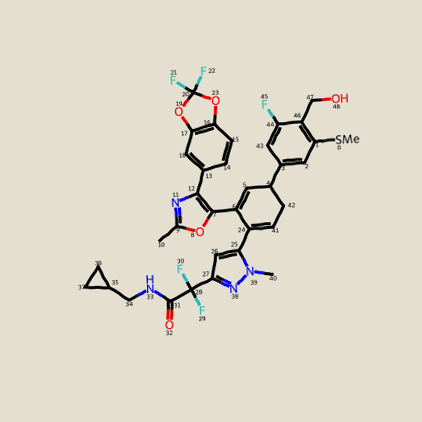 CSc1cc(C2C=C(c3oc(C)nc3-c3ccc4c(c3)OC(F)(F)O4)C(c3cc(C(F)(F)C(=O)NCC4CC4)nn3C)=CC2)cc(F)c1CO